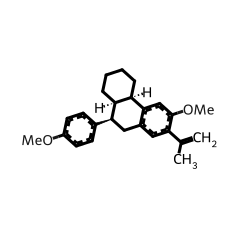 C=C(C)c1cc2c(cc1OC)[C@@H]1CCCC[C@@H]1[C@H](c1ccc(OC)cc1)C2